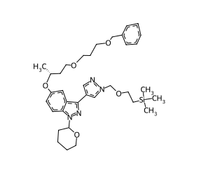 C[C@H](CCOCCCOCc1ccccc1)Oc1ccc2c(c1)c(-c1cnn(COCC[Si](C)(C)C)c1)nn2C1CCCCO1